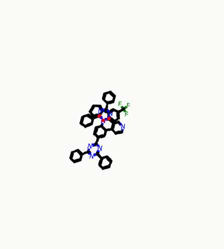 FC(F)(F)c1ccc2c(c1)c1ccccc1n2-c1ccc(-c2nc(-c3ccccc3)nc(-c3ccccc3)n2)cc1-c1ccncc1-c1nc(-c2ccccc2)nc(-c2ccccc2)n1